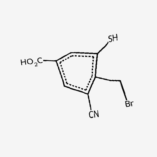 N#Cc1cc(C(=O)O)cc(S)c1CBr